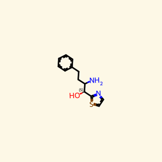 NC(CCc1ccccc1)[C@H](O)c1nccs1